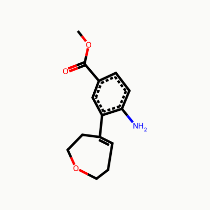 COC(=O)c1ccc(N)c(C2=CCCOCC2)c1